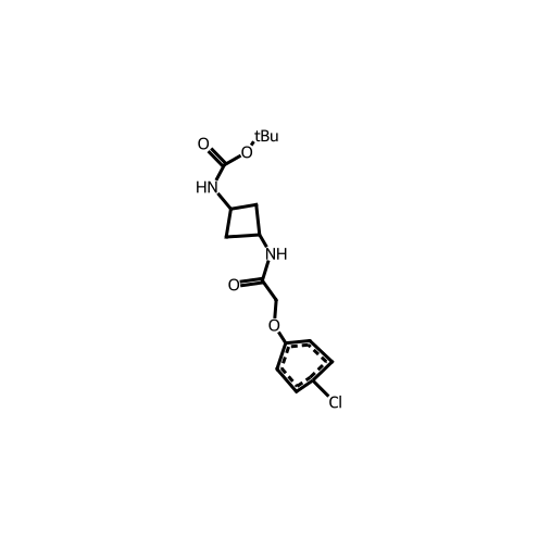 CC(C)(C)OC(=O)NC1CC(NC(=O)COc2ccc(Cl)cc2)C1